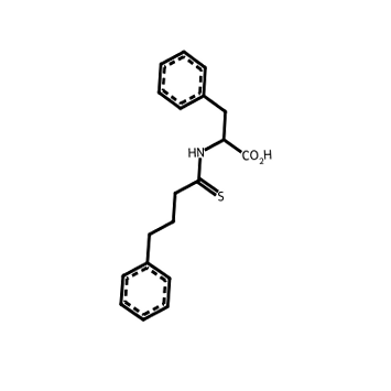 O=C(O)C(Cc1ccccc1)NC(=S)CCCc1ccccc1